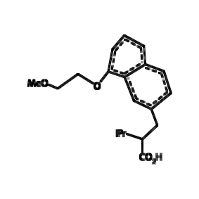 COCCOc1cccc2ccc(CC(C(=O)O)C(C)C)cc12